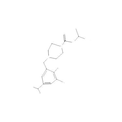 Cc1c(N)cc(C(F)F)cc1CN1CCN(C(=O)OC(C)C)[C@@H](C)C1